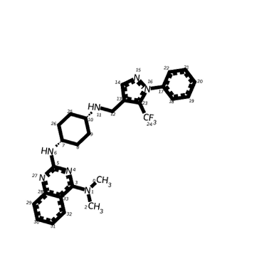 CN(C)c1nc(N[C@H]2CC[C@@H](NCc3cnn(-c4ccccc4)c3C(F)(F)F)CC2)nc2ccccc12